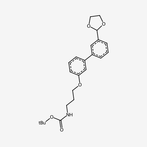 CC(C)(C)OC(=O)NCCCOc1cccc(-c2cccc(C3OCCO3)c2)c1